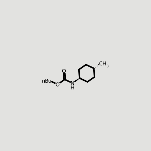 CCCCOC(=O)N[C@H]1CC[C@H](C)CC1